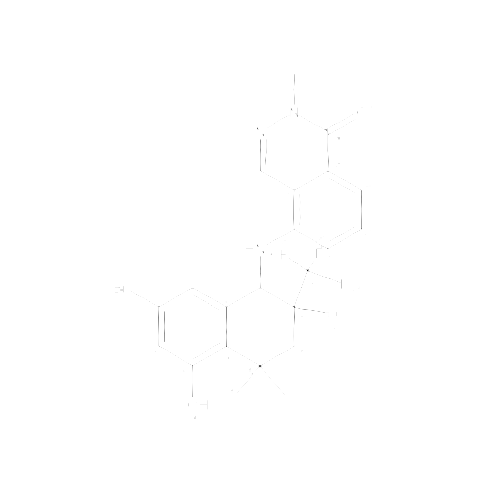 Cn1ncc2c(NC3c4cc(Br)cc(O)c4C(C)(C)CC3(O)C(F)(F)F)cccc2c1=O